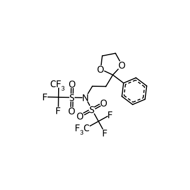 O=S(=O)(N(CCC1(c2ccccc2)OCCO1)S(=O)(=O)C(F)(F)C(F)(F)F)C(F)(F)C(F)(F)F